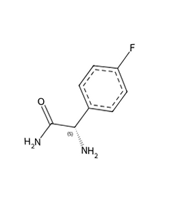 NC(=O)[C@@H](N)c1ccc(F)cc1